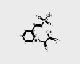 C=C(C)C(=O)O.O=S(=O)(O)C=Cc1ccccc1